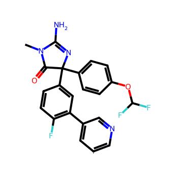 CN1C(=O)C(c2ccc(OC(F)F)cc2)(c2ccc(F)c(-c3c[c]cnc3)c2)N=C1N